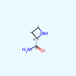 NC(=O)[C@@H]1CCN1